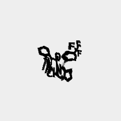 Cn1nc2ccccc2c1C(=O)N1CCc2ccccc2[C@H]1c1ccc(C(F)(F)F)cc1